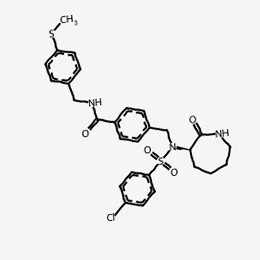 CSc1ccc(CNC(=O)c2ccc(CN([C@@H]3CCCCNC3=O)S(=O)(=O)c3ccc(Cl)cc3)cc2)cc1